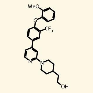 COc1ccccc1Sc1ccc(-c2ccnc(N3CCC(CCO)CC3)c2)cc1C(F)(F)F